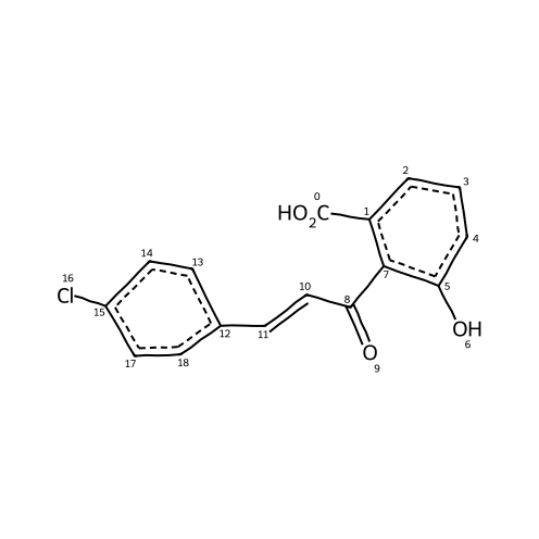 O=C(O)c1cccc(O)c1C(=O)C=Cc1ccc(Cl)cc1